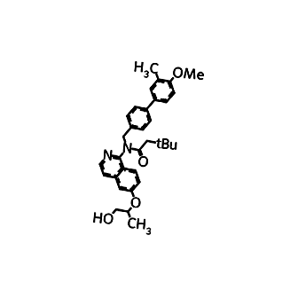 COc1ccc(-c2ccc(CN(C(=O)CC(C)(C)C)c3nccc4cc(OC(C)CO)ccc34)cc2)cc1C